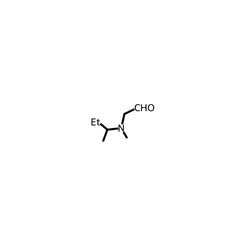 CCC(C)N(C)CC=O